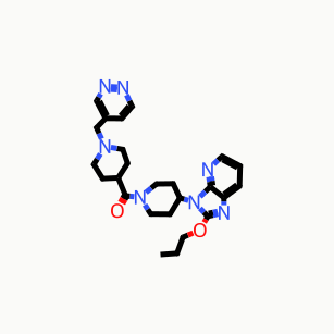 CCCOc1nc2cccnc2n1C1CCN(C(=O)C2CCN(Cc3ccnnc3)CC2)CC1